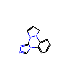 C1=CN2c3nncn3-c3ccccc3N2C1